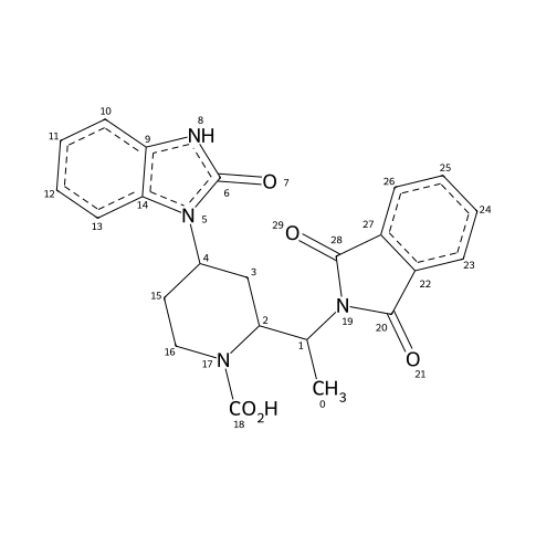 CC(C1CC(n2c(=O)[nH]c3ccccc32)CCN1C(=O)O)N1C(=O)c2ccccc2C1=O